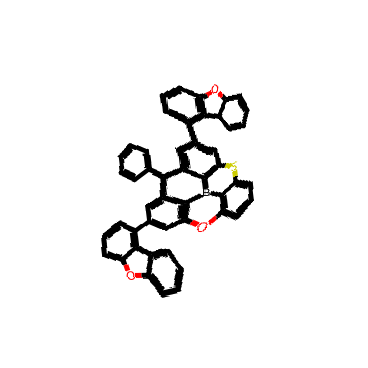 C1=CC2Oc3cccc(-c4cc5c6c(c4)C(c4ccccc4)c4cc(-c7cccc8oc9ccccc9c78)cc7c4B6c4c(cccc4S5)O7)c3C2C=C1